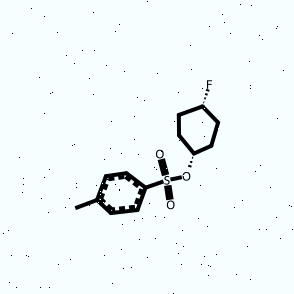 Cc1ccc(S(=O)(=O)O[C@H]2CC[C@@H](F)CC2)cc1